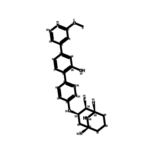 COc1cc(-c2ccc(-c3ccc(O[C@@H]4C[C@H]5CCC[C@H](N5)[C@@H]4F)nn3)c(O)c2)cnn1